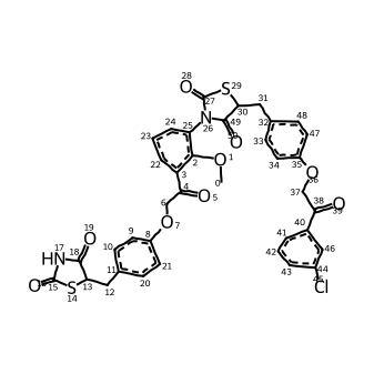 COc1c(C(=O)COc2ccc(CC3SC(=O)NC3=O)cc2)cccc1N1C(=O)SC(Cc2ccc(OCC(=O)c3cccc(Cl)c3)cc2)C1=O